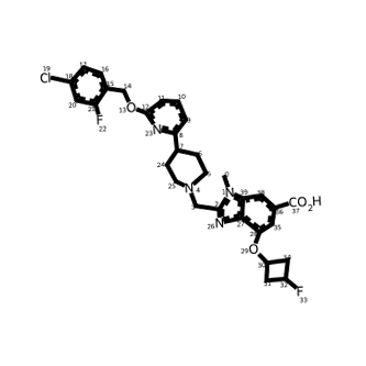 Cn1c(CN2CCC(c3cccc(OCc4ccc(Cl)cc4F)n3)CC2)nc2c(OC3CC(F)C3)cc(C(=O)O)cc21